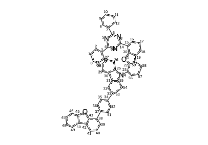 c1ccc(-c2nc(-c3ccccc3)nc(-c3cccc4c3oc3c(-n5c6ccccc6c6cc(-c7ccc(-c8cccc9c8oc8ccccc89)cc7)ccc65)cccc34)n2)cc1